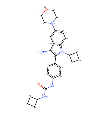 Nc1c(-c2ccc(NC(=O)NC3CCC3)cc2)n(C2CCC2)c2ccc(N3CCOCC3)cc12